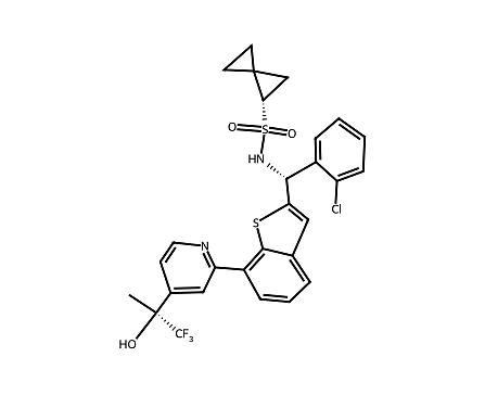 C[C@](O)(c1ccnc(-c2cccc3cc([C@H](NS(=O)(=O)[C@H]4CC45CC5)c4ccccc4Cl)sc23)c1)C(F)(F)F